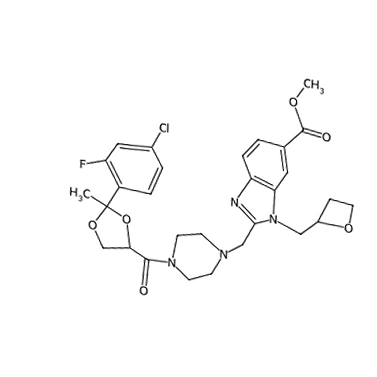 COC(=O)c1ccc2nc(CN3CCN(C(=O)C4COC(C)(c5ccc(Cl)cc5F)O4)CC3)n(CC3CCO3)c2c1